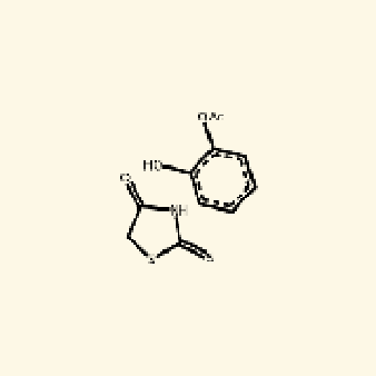 CC(=O)Oc1ccccc1O.O=C1CSC(=S)N1